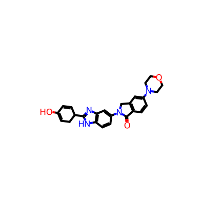 O=C1c2ccc(N3CCOCC3)cc2CN1c1ccc2[nH]c(C3C=CC(O)=CC3)nc2c1